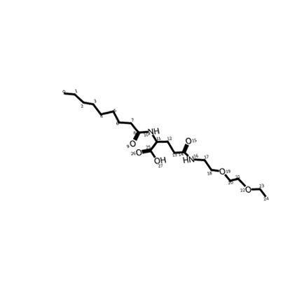 CCCCCCCCC(=O)NC(CCC(=O)NCCOCCOCC)C(=O)O